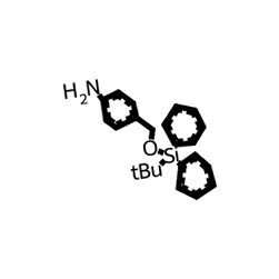 CC(C)(C)[Si](OCc1ccc(N)cc1)(c1ccccc1)c1ccccc1